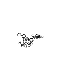 CC(C)CONC(=O)c1ccc2c(c1)N(Cc1ccc(Cl)cc1)C(=O)[C@@H](N)CS2(=O)=O.Cl